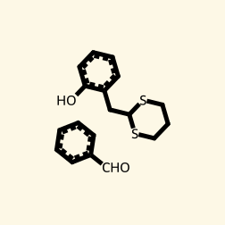 O=Cc1ccccc1.Oc1ccccc1CC1SCCCS1